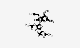 C#CCn1c(=O)n([C@@H]2O[C@H](C(OC(C)=O)C(F)(F)F)[C@H](F)[C@H]2OC(C)=O)c2nc(N)nc(OC)c21